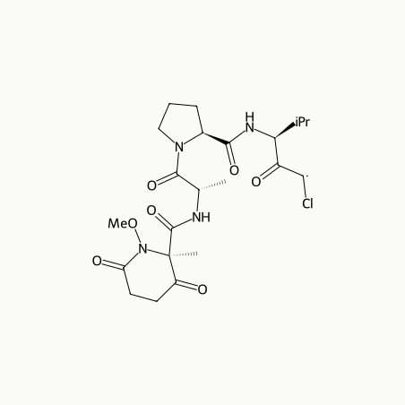 CON1C(=O)CCC(=O)[C@]1(C)C(=O)N[C@@H](C)C(=O)N1CCC[C@H]1C(=O)N[C@H](C(=O)[CH]Cl)C(C)C